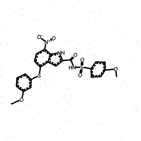 COc1ccc(S(=O)(=O)NC(=O)c2cc3c(Sc4cccc(OC)c4)ccc([N+](=O)[O-])c3[nH]2)cc1